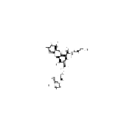 O=C(NOCCO)c1cc(C=NOCCN2CCNC2=O)c(F)c(F)c1Nc1ccc(I)cc1F